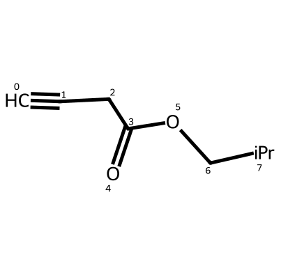 C#CCC(=O)OCC(C)C